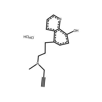 C#CCN(C)CCCc1ccc(O)c2ncccc12.Cl.Cl